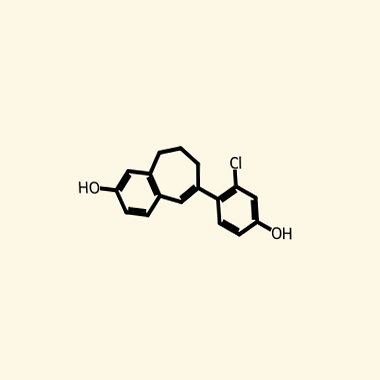 Oc1ccc(C2=Cc3ccc(O)cc3CCC2)c(Cl)c1